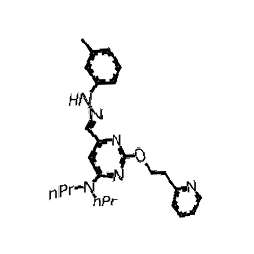 CCCN(CCC)c1cc(/C=N/Nc2cccc(C)c2)nc(OCCc2ccccn2)n1